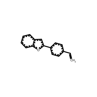 C=Cc1ccc(-c2cc3ccccc3o2)cc1